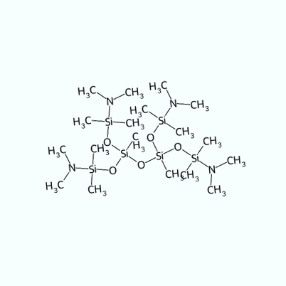 CN(C)[Si](C)(C)O[Si](C)(O[Si](C)(O[Si](C)(C)N(C)C)O[Si](C)(C)N(C)C)O[Si](C)(C)N(C)C